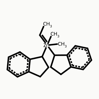 C[CH]=[Zr]([CH3])([CH3])([CH]1CCc2ccccc21)[CH]1CCc2ccccc21